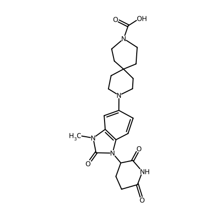 Cn1c(=O)n(C2CCC(=O)NC2=O)c2ccc(N3CCC4(CCN(C(=O)O)CC4)CC3)cc21